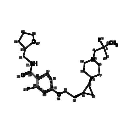 CC(F)(F)CN1CCC([C@H]2C[C@H]2CCOc2ccc(C(=O)NCC3CCCO3)c(F)c2)CC1